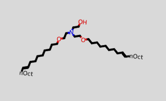 CCCCCCCCC=CCCCCCCCCOCCN(CCO)CCOCCCCCCCCC=CCCCCCCCC